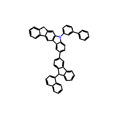 c1ccc(-c2cccc(-n3c4ccc(-c5ccc6c(c5)-c5ccccc5C6c5cccc6ccccc56)cc4c4cc5c(cc43)Cc3ccccc3-5)c2)cc1